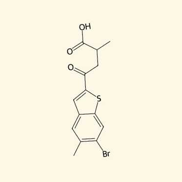 Cc1cc2cc(C(=O)CC(C)C(=O)O)sc2cc1Br